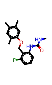 CNC(=O)Nc1cccc(F)c1COc1cc(C)c(C)cc1C